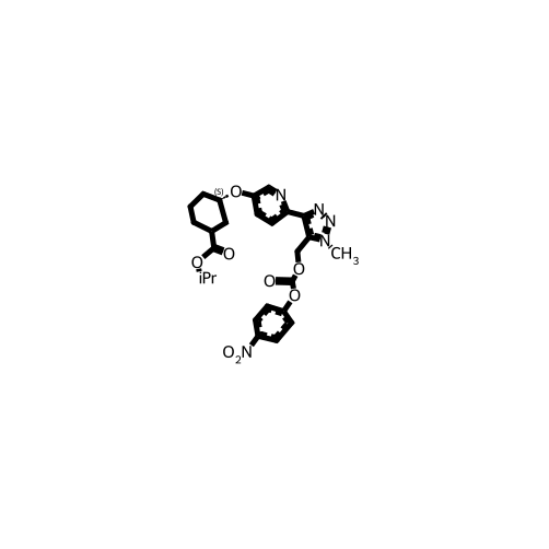 CC(C)OC(=O)C1CCC[C@H](Oc2ccc(-c3nnn(C)c3COC(=O)Oc3ccc([N+](=O)[O-])cc3)nc2)C1